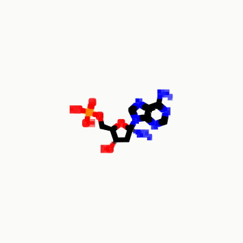 Nc1ncnc2c1ncn2[C@@]1(N)C[C@H](O)[C@@H](COP(=O)(O)O)O1